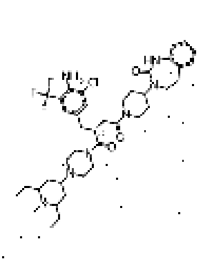 CCC1CC(N2CCN(C(=O)[C@H](CC(=O)N3CCC(N4CCc5ccccc5NC4=O)CC3)Cc3cc(Cl)c(N)c(C(F)(F)F)c3)CC2)CC(CC)N1C